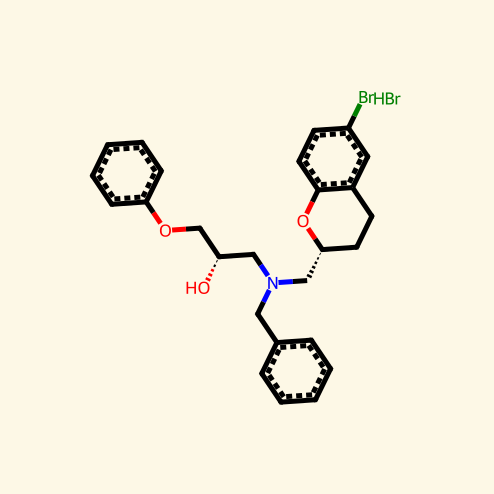 Br.O[C@H](COc1ccccc1)CN(Cc1ccccc1)C[C@H]1CCc2cc(Br)ccc2O1